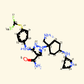 NCC1(n2cc(C(N)=O)c(Nc3ccc(SC(F)F)cc3)n2)CCC(Nc2cccnc2)CC1